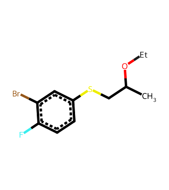 CCOC(C)CSc1ccc(F)c(Br)c1